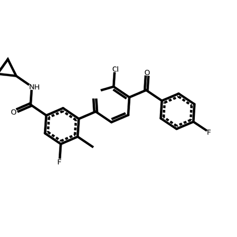 C=C(/C=C\C(C(=O)c1ccc(F)cc1)=C(/C)Cl)c1cc(C(=O)NC2CC2)cc(F)c1C